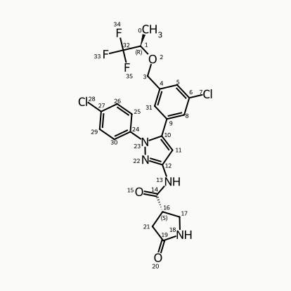 C[C@@H](OCc1cc(Cl)cc(-c2cc(NC(=O)[C@@H]3CNC(=O)C3)nn2-c2ccc(Cl)cc2)c1)C(F)(F)F